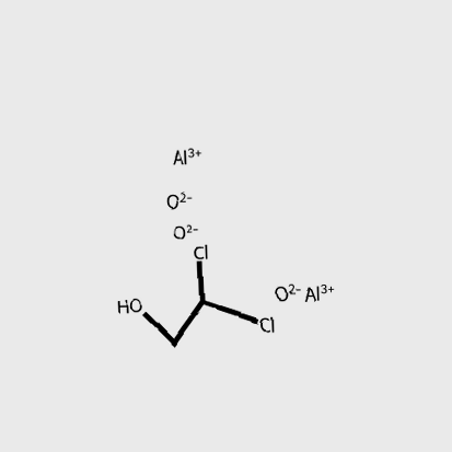 OCC(Cl)Cl.[Al+3].[Al+3].[O-2].[O-2].[O-2]